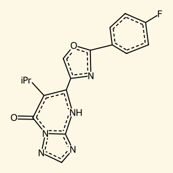 CC(C)c1c(-c2coc(-c3ccc(F)cc3)n2)[nH]c2ncnn2c1=O